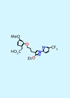 CCOc1nn(-c2ccc(C(F)(F)F)cn2)cc1CCCOc1cc(OC)ccc1CC(=O)O